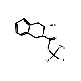 C[C@H]1Cc2ccccc2CN1C(=O)OC(C)(C)C